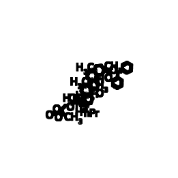 CCCO[C@H]1CC[C@@]2(C)[C@@H](CC[C@]3(C)[C@@H]2C(=O)C=C2[C@@H]4C[C@@](C)(C(=O)OC(c5ccccc5)c5ccccc5)CC[C@]4(C)CC[C@]23C)[C@]1(C)NC(=O)OCc1oc(=O)oc1C